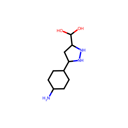 NC1CCC(C2CC(C(O)O)NN2)CC1